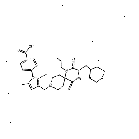 CCCN1C(=O)C(CC2CCCCC2)NC(=O)C12CCN(Cc1cc(C)n(-c3ccc(C(=O)O)cc3)c1C)CC2